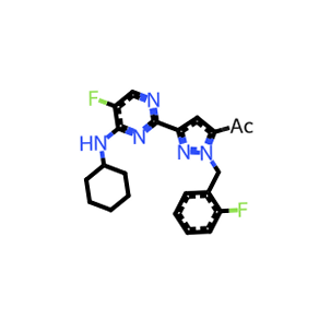 CC(=O)c1cc(-c2ncc(F)c(NC3CCCCC3)n2)nn1Cc1ccccc1F